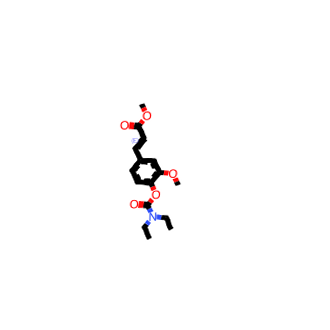 CCN(CC)C(=O)Oc1ccc(/C=C/C(=O)OC)cc1OC